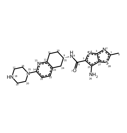 Cc1nc2sc(C(=O)N[C@H]3CCc4nc(N5CCNCC5)ccc4C3)c(N)c2s1